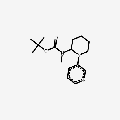 CN(C(=O)OC(C)(C)C)C1CCCCN1c1cccnc1